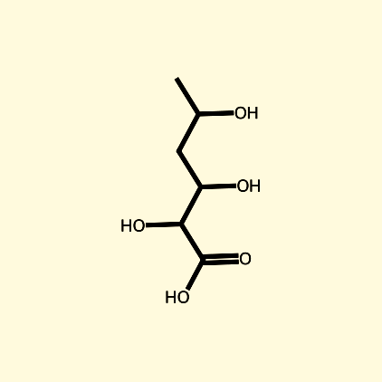 CC(O)CC(O)C(O)C(=O)O